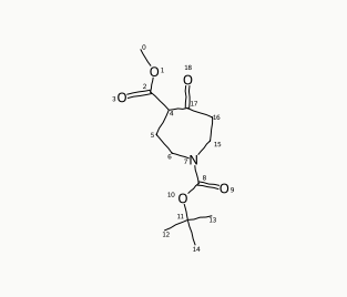 COC(=O)C1CCN(C(=O)OC(C)(C)C)CCC1=O